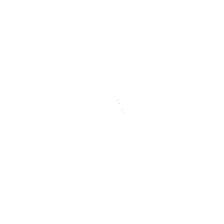 FC(F)(F)c1nnc(CCI)o1